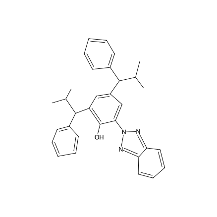 CC(C)C(c1ccccc1)c1cc(C(c2ccccc2)C(C)C)c(O)c(-n2nc3ccccc3n2)c1